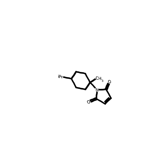 CC(C)C1CCC(C)(N2C(=O)C=CC2=O)CC1